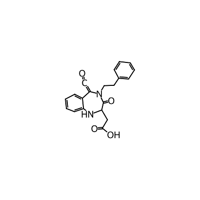 O=C=C1c2ccccc2NC(CC(=O)O)C(=O)N1CCc1ccccc1